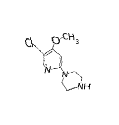 COc1cc(N2CCNCC2)ncc1Cl